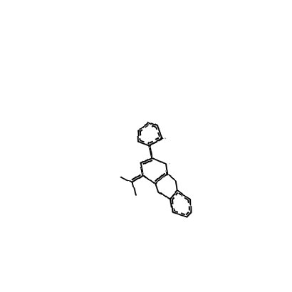 CC(C)=C1C=C(c2[c]cccc2)[CH]C2=C1Cc1ccccc1C2